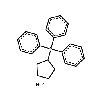 [OH-].c1ccc([P+](c2ccccc2)(c2ccccc2)C2CCCC2)cc1